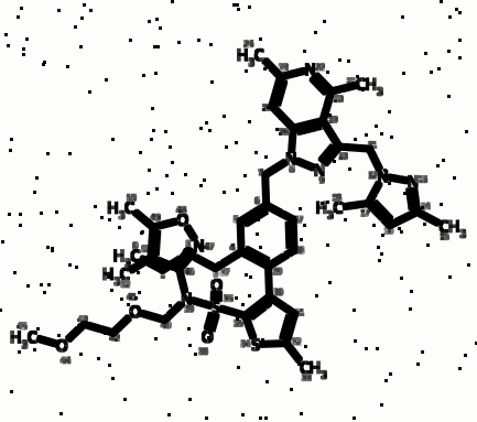 CCOCc1cc(Cn2nc(Cn3nc(C)cc3C)c3c(C)nc(C)cc32)ccc1-c1cc(C)sc1S(=O)(=O)N(COCCOC)c1noc(C)c1C